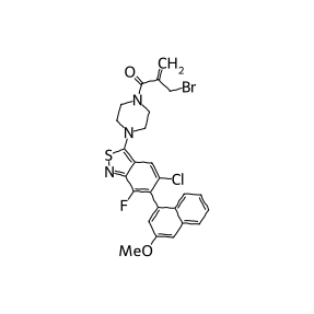 C=C(CBr)C(=O)N1CCN(c2snc3c(F)c(-c4cc(OC)cc5ccccc45)c(Cl)cc23)CC1